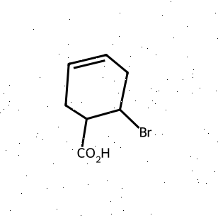 O=C(O)C1CC=CCC1Br